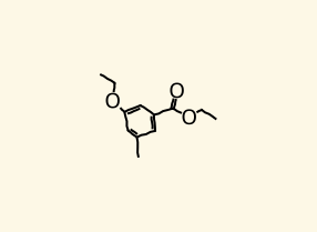 CCOC(=O)c1cc(C)cc(OCC)c1